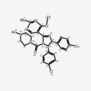 CCOc1nc(C(C)(C)C)ncc1C1=N[C@@H](c2ccc(Cl)cc2)[C@@H](c2ccc(Cl)cc2)N1C(=O)N1CCN(C(C)=O)CC1